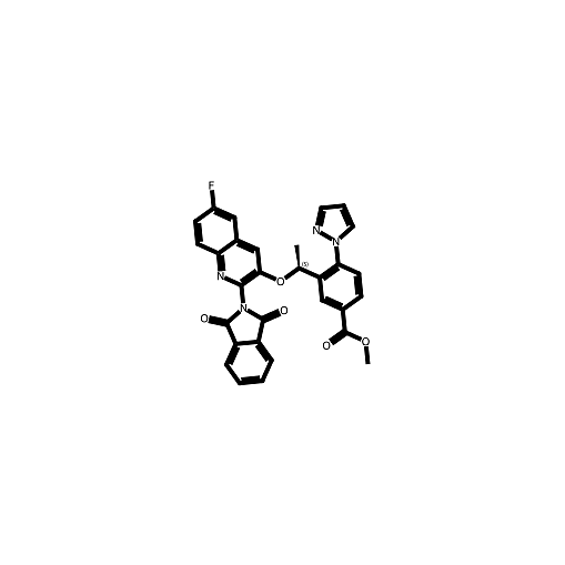 COC(=O)c1ccc(-n2cccn2)c([C@H](C)Oc2cc3cc(F)ccc3nc2N2C(=O)c3ccccc3C2=O)c1